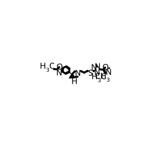 CCc1nc2cc([C@]34C[C@H]3CN(CCCSc3nnc(-c5ocnc5C)n3C)C4)ccc2o1